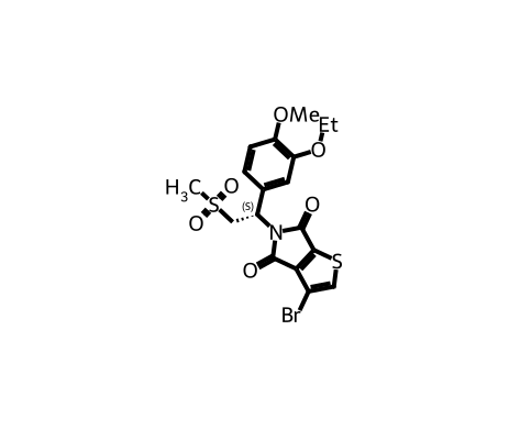 CCOc1cc([C@@H](CS(C)(=O)=O)N2C(=O)c3scc(Br)c3C2=O)ccc1OC